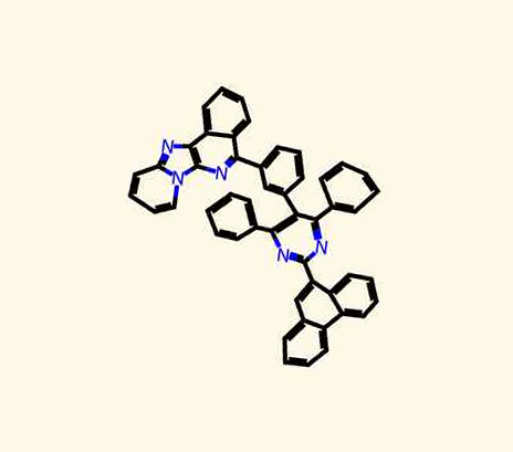 c1ccc(-c2nc(-c3cc4ccccc4c4ccccc34)nc(-c3ccccc3)c2-c2cccc(-c3nc4c(nc5ccccn54)c4ccccc34)c2)cc1